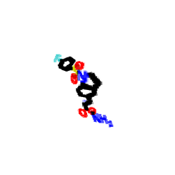 NOC(=O)/C=C/c1ccc2c(ccn2S(=O)(=O)c2ccc(F)cc2)c1